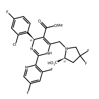 COC(=O)C1=C(CN2CC(F)(F)C[C@H]2C(=O)O)NC(c2ncc(F)cc2F)=N[C@H]1c1ccc(F)cc1Cl